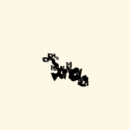 CN(Cl)CCCNc1nc(Nc2ccc(N3CCOCC3)nc2)ncc1C1CC1